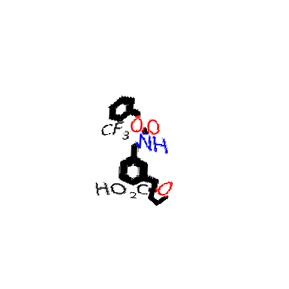 O=C(NCc1cccc(CC2(C(=O)O)CCCO2)c1)OCc1ccccc1C(F)(F)F